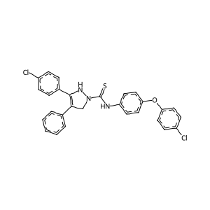 S=C(Nc1ccc(Oc2ccc(Cl)cc2)cc1)N1CC(c2ccccc2)=C(c2ccc(Cl)cc2)N1